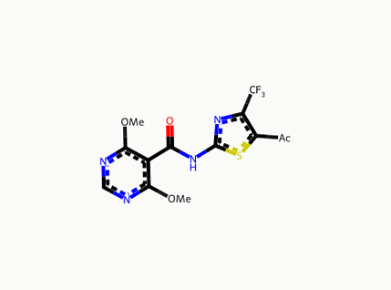 COc1ncnc(OC)c1C(=O)Nc1nc(C(F)(F)F)c(C(C)=O)s1